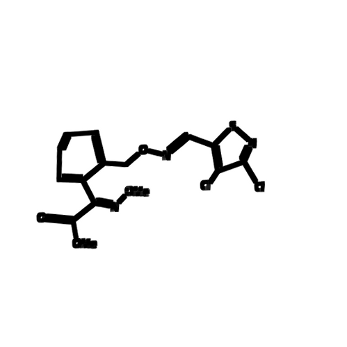 CO/N=C(/C(=O)OC)c1ccccc1CO/N=C/c1snc(Cl)c1Cl